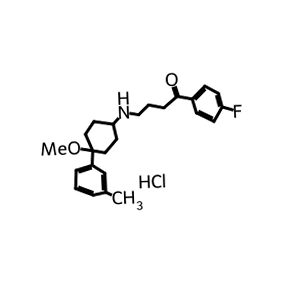 COC1(c2cccc(C)c2)CCC(NCCCC(=O)c2ccc(F)cc2)CC1.Cl